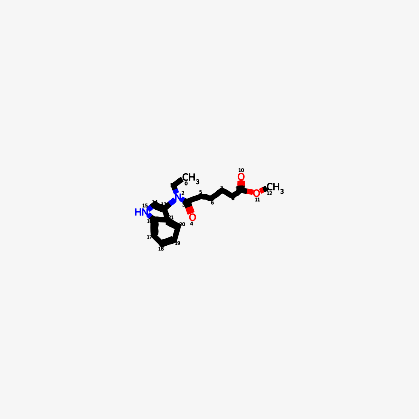 CCN(C(=O)CCCCC(=O)OC)c1c[nH]c2ccccc12